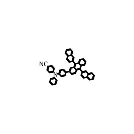 N#Cc1ccc(N(c2ccccc2)c2ccc(-c3ccc4c(-c5ccc6ccccc6c5)c5ccccc5c(-c5ccc6ccccc6c5)c4c3)cc2)cc1